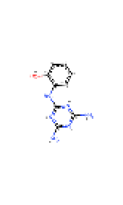 Nc1nc(N)nc(Nc2ccccc2O)n1